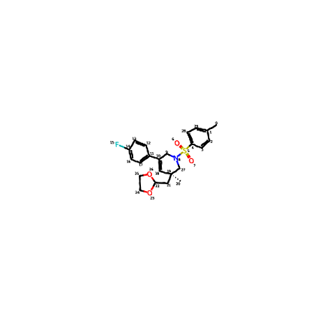 Cc1ccc(S(=O)(=O)N2CC(c3ccc(F)cc3)=C[C@](C)(CC3OCCO3)C2)cc1